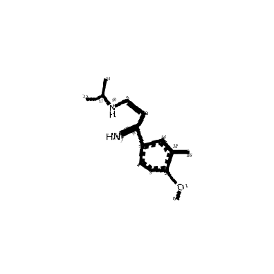 COc1ccc(C(=N)/C=C\NC(C)C)cc1C